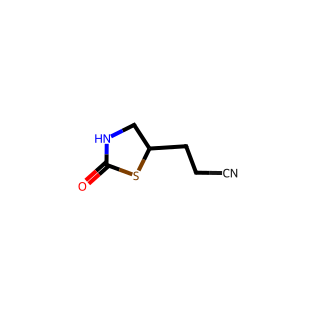 N#CCCC1CNC(=O)S1